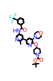 Cc1ncc(NC(=O)c2cccc(C(F)(F)F)c2)cc1-c1cnc(OC2CCN(C(=O)OC(C)(C)C)CC2)c(N2CCOCC2)c1